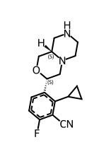 N#Cc1c(F)ccc([C@H]2CN3CCNC[C@H]3CO2)c1C1CC1